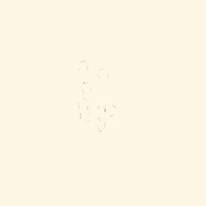 CCCCCOc1cccc(C([SiH2]c2ccccc2)(c2cccc(OCCCCC)c2)n2ccnc2)c1.c1ccc(B(c2ccccc2)c2ccccc2)cc1